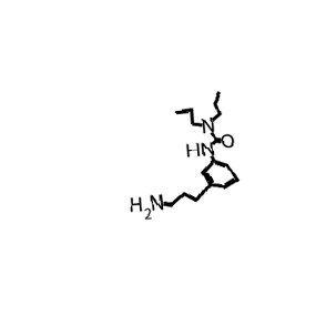 CCCN(CCC)C(=O)Nc1cccc(CCCN)c1